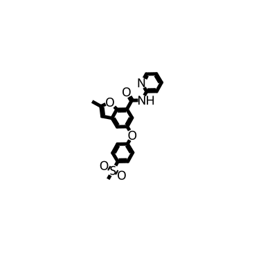 Cc1cc2cc(Oc3ccc(S(C)(=O)=O)cc3)cc(C(=O)Nc3ccccn3)c2o1